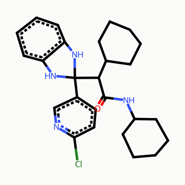 O=C(NC1CCCCC1)C(C1CCCCC1)C1(c2ccc(Cl)nc2)Nc2ccccc2N1